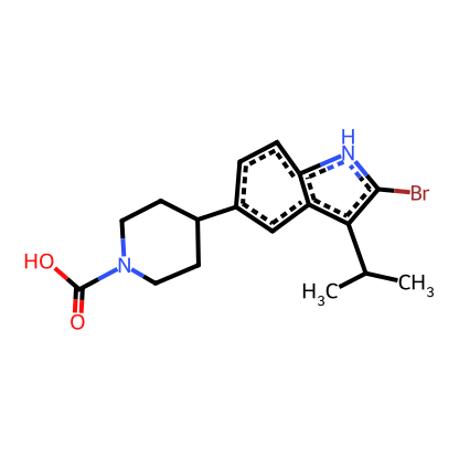 CC(C)c1c(Br)[nH]c2ccc(C3CCN(C(=O)O)CC3)cc12